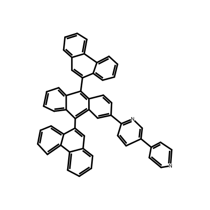 c1ccc2c(c1)cc(-c1c3ccccc3c(-c3cc4ccccc4c4ccccc34)c3cc(-c4ccc(-c5ccncc5)cn4)ccc13)c1ccccc12